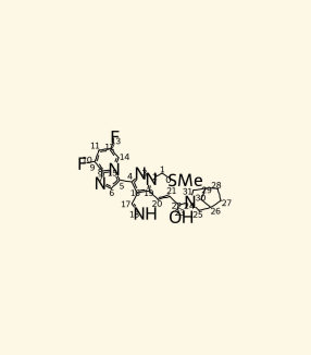 CSCn1nc(-c2cnc3c(F)cc(F)cn23)c(C=N)c1/C=C/C(O)N1CC2CCC(C2)C1